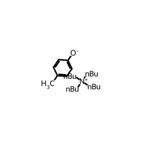 CCCC[N+](CCCC)(CCCC)CCCC.Cc1ccc([O-])cc1